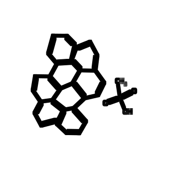 CS(=O)(=O)O.c1ccc(-c2ccc3ccccc3c2-c2c(-c3ccccc3)ccc3ccccc23)cc1